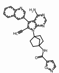 C#Cc1c(-c2cnc3ccccc3c2)c2c(N)ncnc2n1C12CCC(NC(=O)c3ccno3)(CC1)C2